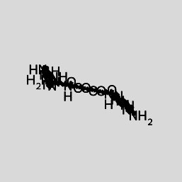 N=C(c1cnc2[nH]ccc2c1)c1c(N)ncnc1NCCCCNC(=O)CCOCCOCCOCCOCCNC(=O)c1cnc(N2CCN(c3ncc(CN)cn3)CC2)nc1